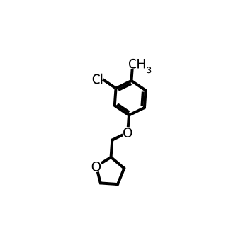 Cc1ccc(OCC2CCCO2)cc1Cl